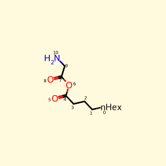 CCCCCCCCCC(=O)OC(=O)CN